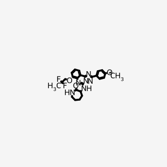 COc1ccc(-c2nc3c4cccc(OCC(C)(F)F)c4nc(NC4CCCCNC4=O)n3n2)cc1